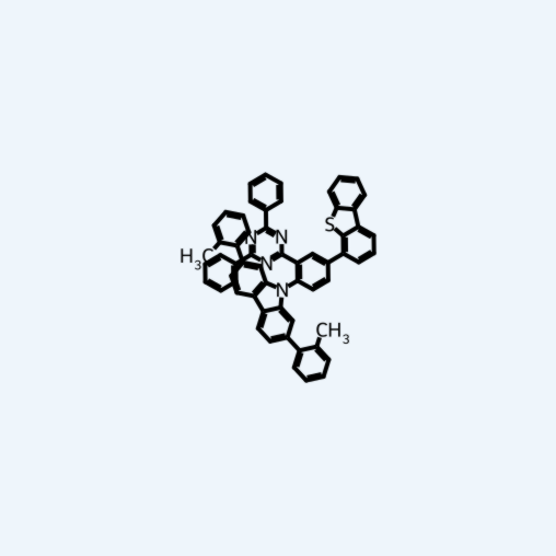 Cc1ccccc1-c1ccc2c3ccc(-c4ccccc4C)cc3n(-c3ccc(-c4cccc5c4sc4ccccc45)cc3-c3nc(-c4ccccc4)nc(-c4ccccc4)n3)c2c1